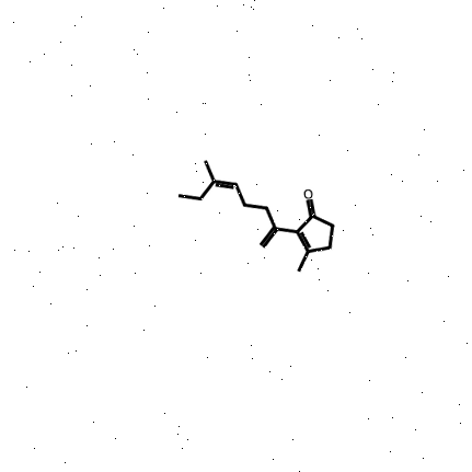 C=C(CCC=C(C)CC)C1=C(C)CCC1=O